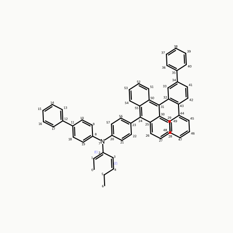 C/C=C(\C=C/CC)N(c1ccc(-c2ccccc2)cc1)c1ccc(-c2c3ccccc3c(-c3cc(-c4ccccc4)ccc3-c3ccccc3)c3ccccc23)cc1